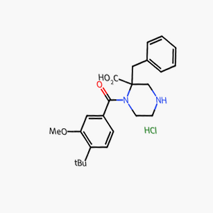 COc1cc(C(=O)N2CCNCC2(Cc2ccccc2)C(=O)O)ccc1C(C)(C)C.Cl